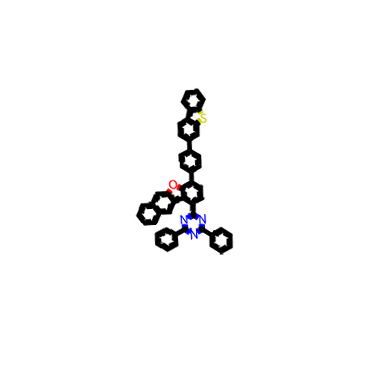 c1ccc(-c2nc(-c3ccccc3)nc(-c3ccc(-c4ccc(-c5ccc6c(c5)sc5ccccc56)cc4)c4oc5cc6ccccc6cc5c34)n2)cc1